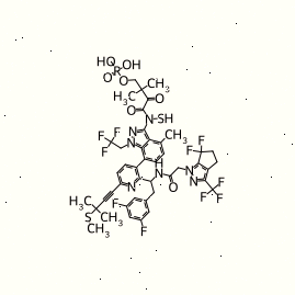 CSC(C)(C)C#Cc1ccc(-c2ccc(C)c3c(N(S)C(=O)C(=O)C(C)(C)COP(=O)(O)O)nn(CC(F)(F)F)c23)c(C(Cc2cc(F)cc(F)c2)NC(=O)Cn2nc(C(F)(F)F)c3c2C(F)(F)CC3)n1